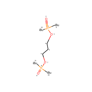 CCC(C)P(=O)(OCCCOP(=O)(C(C)CC)C(C)CC)C(C)CC